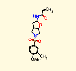 C=CC(=O)NC1CC2CN(S(=O)(=O)c3ccc(OC)c(C)c3)CC2O1